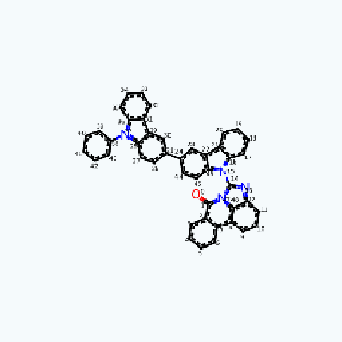 O=c1c2ccccc2c2cccc3nc(-n4c5ccccc5c5cc(-c6ccc7c(c6)c6ccccc6n7-c6ccccc6)ccc54)n1c32